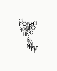 CC(C)(C)C[C@H]1N[C@@H](C(=O)NCCN2CCn3c(nnc3CC(F)(F)F)C2)[C@H](c2cccc(Cl)c2F)[C@@]12C(=O)Nc1cc(Cl)c(F)cc12